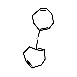 C1=CCC[C]([Rh][C]2=CCCC=CCC2)=CCC1